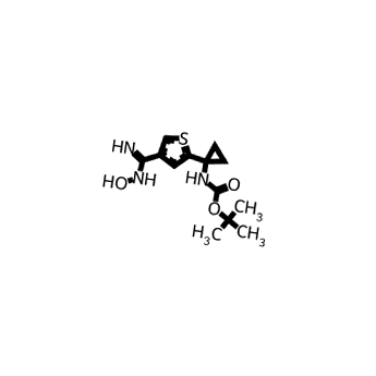 CC(C)(C)OC(=O)NC1(c2cc(C(=N)NO)cs2)CC1